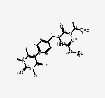 CC(=O)OC(C)OC(=O)[C@H](Cc1ccc(-c2c(C)n(C)c(=O)n(C)c2=O)cc1)NC(=O)OC(C)(C)C